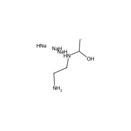 [CH2]C(O)NCCN.[NaH].[NaH].[NaH]